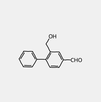 O=Cc1ccc(-c2ccccc2)c(CO)c1